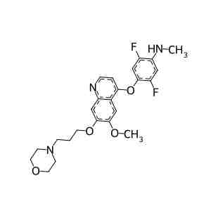 CNc1cc(F)c(Oc2ccnc3cc(OCCCN4CCOCC4)c(OC)cc23)cc1F